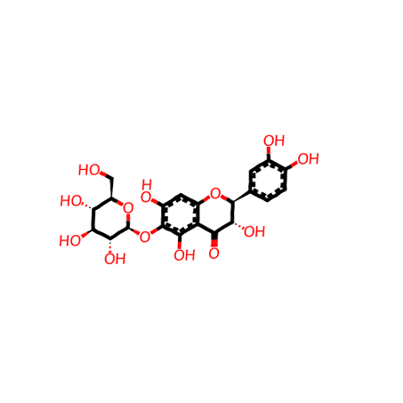 O=C1c2c(cc(O)c(O[C@@H]3O[C@H](CO)[C@@H](O)[C@H](O)[C@H]3O)c2O)O[C@@H](c2ccc(O)c(O)c2)[C@@H]1O